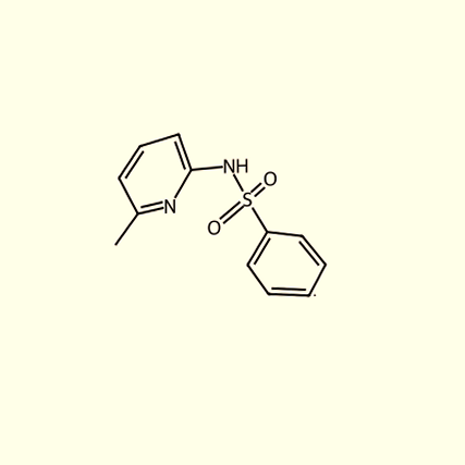 Cc1cccc(NS(=O)(=O)c2cc[c]cc2)n1